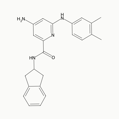 Cc1ccc(Nc2cc(N)cc(C(=O)NC3Cc4ccccc4C3)n2)cc1C